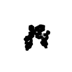 C/C=C(C)\C=C1\c2cc(C)ccc2N1c1ccc2c(c1)-c1ccccc1C(c1ccccc1-c1ccc3c(c1)C1=C(C(C)C=C1)C3Cc1ccc(C)cc1)C2C